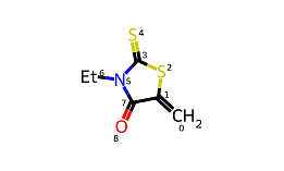 C=C1SC(=S)N(CC)C1=O